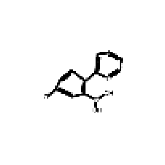 OB(O)c1cc(Cl)ccc1-c1bcccc1